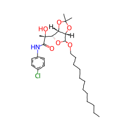 CCCCCCCCCCCCO[C@H]1O[C@H]([C@@](C)(O)C(=O)Nc2ccc(Cl)cc2)[C@@H]2OC(C)(C)O[C@H]12